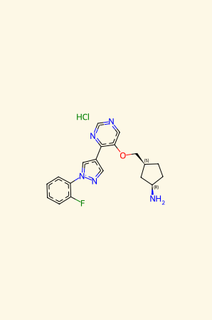 Cl.N[C@@H]1CC[C@H](COc2cncnc2-c2cnn(-c3ccccc3F)c2)C1